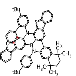 CC(C)(C)c1ccc(N2B3c4cc5c(cc4N(c4ccc(C(C)(C)C)cc4-c4ccccc4)c4c3c(cc3c4sc4ccccc43)-c3cc4c(cc32)C(C)(C)CCC4(C)C)oc2ccccc25)cc1